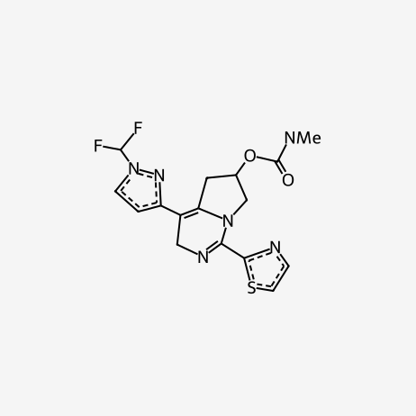 CNC(=O)OC1CC2=C(c3ccn(C(F)F)n3)CN=C(c3nccs3)N2C1